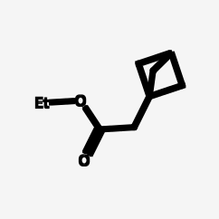 CCOC(=O)CC12CC(C1)C2